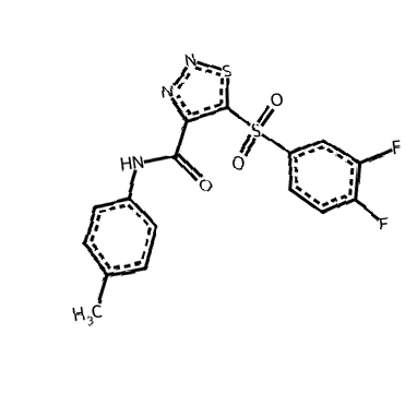 Cc1ccc(NC(=O)c2nnsc2S(=O)(=O)c2ccc(F)c(F)c2)cc1